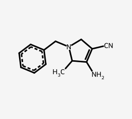 CC1C(N)=C(C#N)CN1Cc1ccccc1